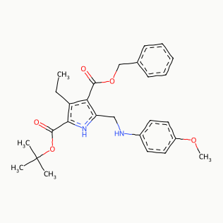 CCc1c(C(=O)OC(C)(C)C)[nH]c(CNc2ccc(OC)cc2)c1C(=O)OCc1ccccc1